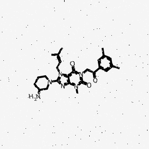 CC(C)=CCn1c(N2CCCC(N)C2)nc2c1c(=O)n(CC(=O)c1cc(C)cc(C)c1)c(=O)n2C